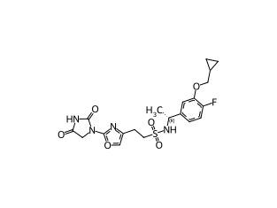 C[C@@H](NS(=O)(=O)CCc1coc(N2CC(=O)NC2=O)n1)c1ccc(F)c(OCC2CC2)c1